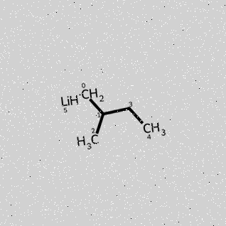 [CH2]C(C)CC.[LiH]